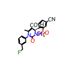 CC1=C(C(=O)O)[C@@H](c2ccc(C#N)cc2S(C)(=O)=O)NC(=O)N1c1cccc(CF)c1